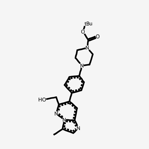 Cc1cnc2cc(-c3ccc(N4CCN(C(=O)OC(C)(C)C)CC4)cc3)c(CO)nn12